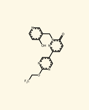 O=c1ccc(-c2cnc(OCC(F)(F)F)nc2)nn1Cc1cnccc1O